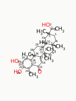 C=C(O)[C@]1(C)CC[C@]2(C)CC[C@]3(C)C4=CC(=O)c5c(cc(O)c(O)c5C)[C@]4(C)CC[C@@]3(C)[C@@H]2C1